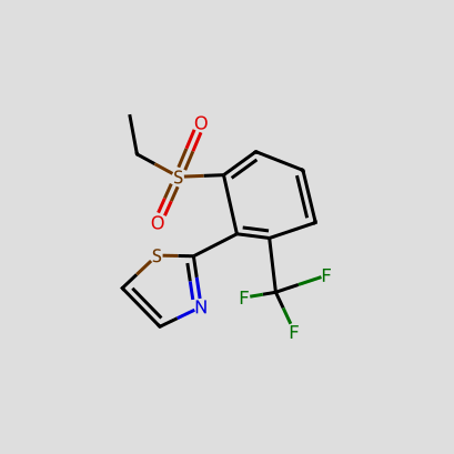 CCS(=O)(=O)c1cccc(C(F)(F)F)c1-c1nccs1